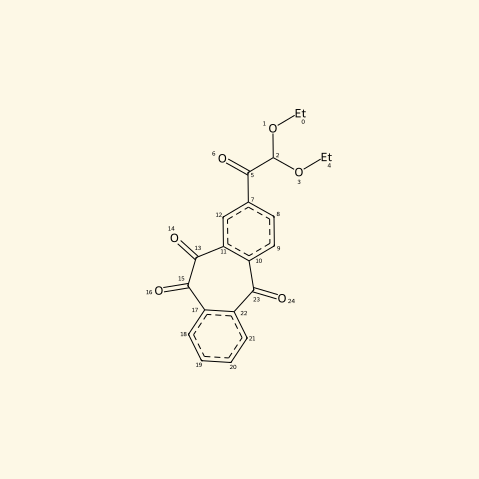 CCOC(OCC)C(=O)c1ccc2c(c1)C(=O)C(=O)c1ccccc1C2=O